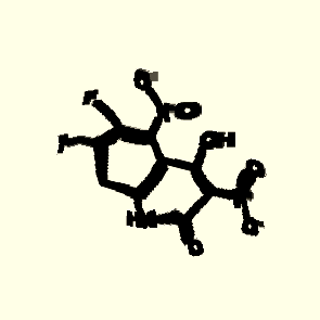 O=c1[nH]c2cc(F)c(F)c([N+](=O)[O-])c2c(O)c1[N+](=O)[O-]